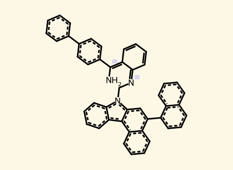 N/C(=C1/C=CC=C/C1=N/Cn1c2ccccc2c2c3ccccc3c(-c3cccc4ccccc34)cc21)c1ccc(-c2ccccc2)cc1